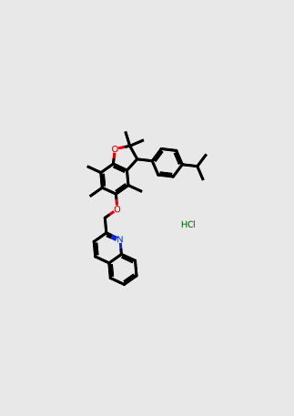 Cc1c(C)c2c(c(C)c1OCc1ccc3ccccc3n1)C(c1ccc(C(C)C)cc1)C(C)(C)O2.Cl